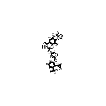 CC(NC(=O)Oc1coc(Oc2cccc(C(F)(F)F)c2C2CC2)n1)c1cc(F)c(NS(C)(=O)=O)c(F)c1